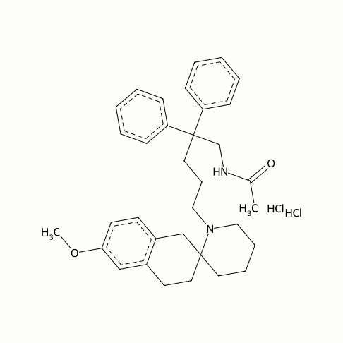 COc1ccc2c(c1)CCC1(CCCCN1CCCC(CNC(C)=O)(c1ccccc1)c1ccccc1)C2.Cl.Cl